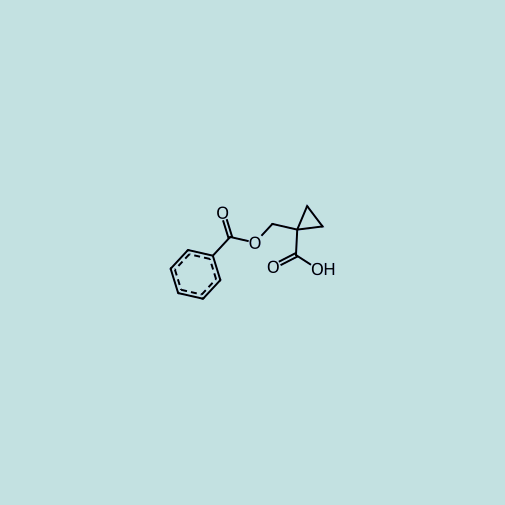 O=C(OCC1(C(=O)O)CC1)c1ccccc1